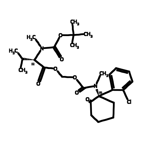 CC(C)[C@@H](C(=O)OCOC(=O)N(C)[C@]1(c2ccccc2Cl)CCCCC1=O)N(C)C(=O)OC(C)(C)C